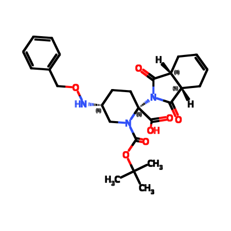 CC(C)(C)OC(=O)N1C[C@H](NOCc2ccccc2)CC[C@]1(C(=O)O)N1C(=O)[C@H]2CC=CC[C@H]2C1=O